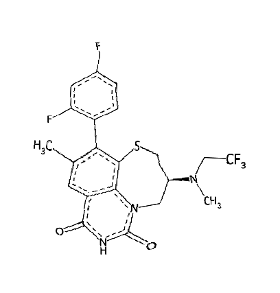 Cc1cc2c(=O)[nH]c(=O)n3c2c(c1-c1ccc(F)cc1F)SC[C@@H](N(C)CC(F)(F)F)C3